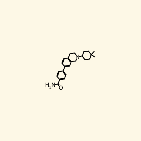 CC1(C)CCC(N2CCc3ccc(-c4ccc(C(N)=O)cc4)cc3C2)CC1